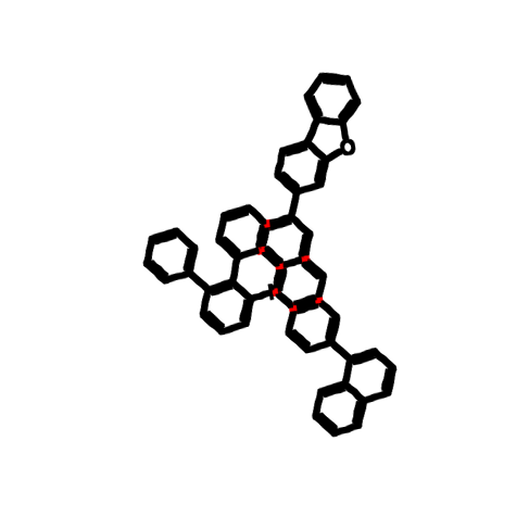 c1ccc(-c2ccccc2-c2c(-c3ccccc3)cccc2N(c2ccc(-c3ccc4c(c3)oc3ccccc34)cc2)c2ccc(-c3cccc4ccccc34)cc2)cc1